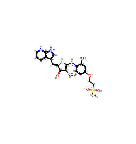 Cc1cc(OCCS(C)(=O)=O)ccc1NC1=C(C(=O)O)C(=O)C(=Cc2c[nH]c3ncccc23)O1